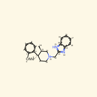 COc1ccccc1[C@]1(C)CCN(Cc2nc3ccccc3[nH]2)C[C@@H]1C